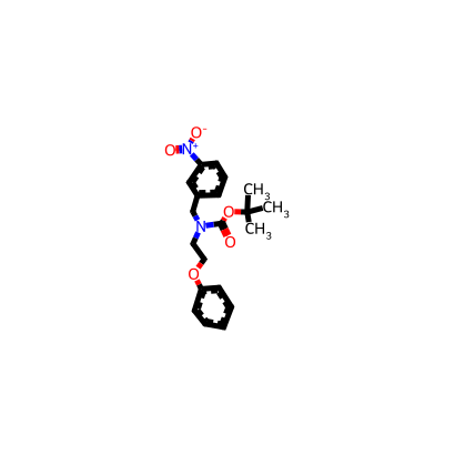 CC(C)(C)OC(=O)N(CCOc1ccccc1)Cc1cccc([N+](=O)[O-])c1